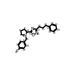 Fc1ccc(CN2CCCC2c2nc(CCCc3ccccc3)no2)cc1